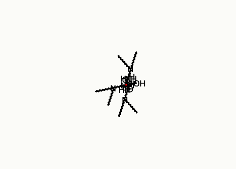 CCCCCCCCCCCCN(CCCCCCCCCCCC)CCCCCCNC(=O)C12CC3(C(=O)NCCO)CC(C(=O)NCCCCCCN(CCCCCCCCCCCC)CCCCCCCCCCCC)(C1)CC(C(=O)NCCCCCCN(CCCCCCCCCCCC)CCCCCCCCCCCC)(C3)C2